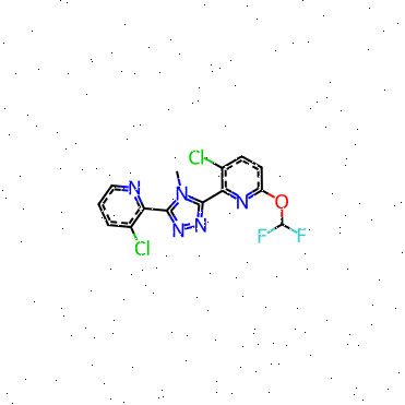 Cn1c(-c2ncccc2Cl)nnc1-c1nc(OC(F)F)ccc1Cl